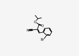 CC(C)OC(=O)C(C#N)=Cc1ccccc1Br